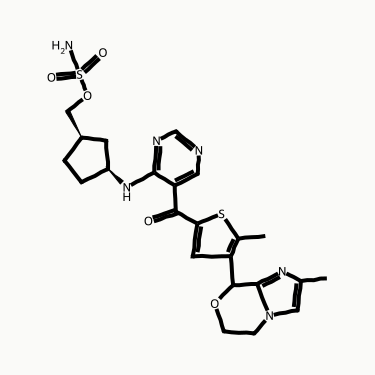 Cc1cn2c(n1)C(c1cc(C(=O)c3cncnc3N[C@H]3CC[C@@H](COS(N)(=O)=O)C3)sc1C)OCC2